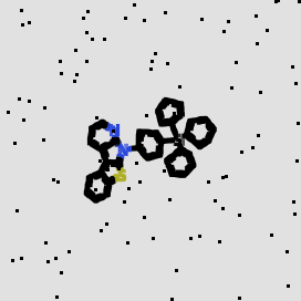 c1ccc([Si](c2ccccc2)(c2ccccc2)c2ccc(-n3c4ncccc4c4c5ccccc5sc43)cc2)cc1